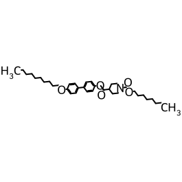 CCCCCCCCCCOc1ccc(-c2ccc(OC(=O)C3CCN(C(=O)OCCCCCCCC)CC3)cc2)cc1